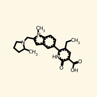 CCc1cc(C(=O)O)c(=O)[nH]c1-c1ccc2c(c1)cc(CN1CCCC1C)n2C